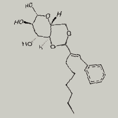 CCCCCCC(=Cc1ccccc1)C1OC[C@H]2OC(O)[C@H](O)[C@@H](O)[C@@H]2O1